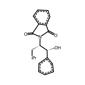 CC(C)C[C@@H]([C@H](O)c1ccccc1)N1C(=O)c2ccccc2C1=O